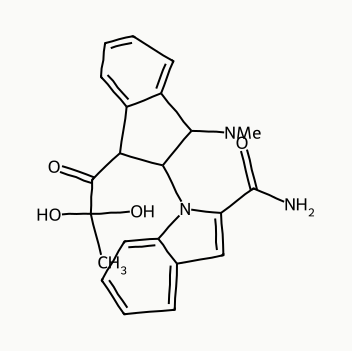 CNC1c2ccccc2C(C(=O)C(C)(O)O)C1n1c(C(N)=O)cc2ccccc21